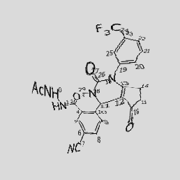 CC(=O)NNC(=O)c1cc(C#N)ccc1C1C2=C(CCC2=O)N(c2cccc(C(F)(F)F)c2)C(=O)N1C